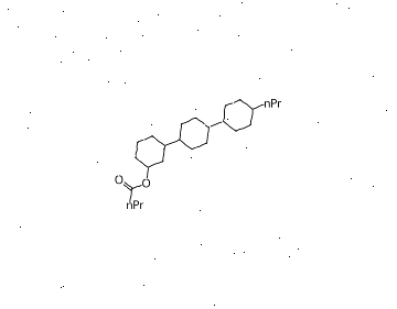 CCCC(=O)OC1CCCC(C2CCC(C3CCC(CCC)CC3)CC2)C1